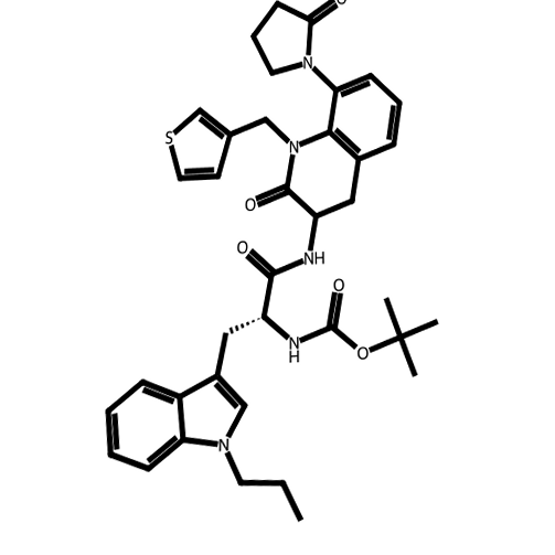 CCCn1cc(C[C@@H](NC(=O)OC(C)(C)C)C(=O)NC2Cc3cccc(N4CCCC4=O)c3N(Cc3ccsc3)C2=O)c2ccccc21